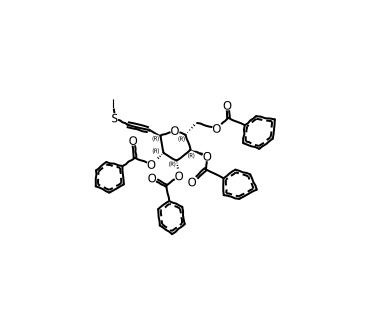 O=C(OC[C@H]1O[C@H](C#CSI)[C@@H](OC(=O)c2ccccc2)[C@@H](OC(=O)c2ccccc2)[C@@H]1OC(=O)c1ccccc1)c1ccccc1